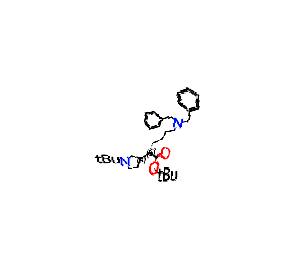 CC(C)(C)OC(=O)[C@@H](CCCCN(Cc1ccccc1)Cc1ccccc1)[C@H]1CCN(C(C)(C)C)C1